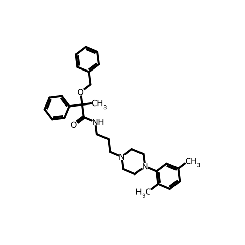 Cc1ccc(C)c(N2CCN(CCCNC(=O)C(C)(OCc3ccccc3)c3ccccc3)CC2)c1